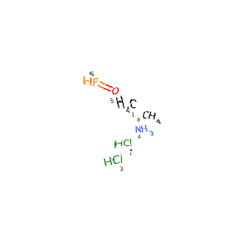 C.C.Cl.Cl.N.O=P